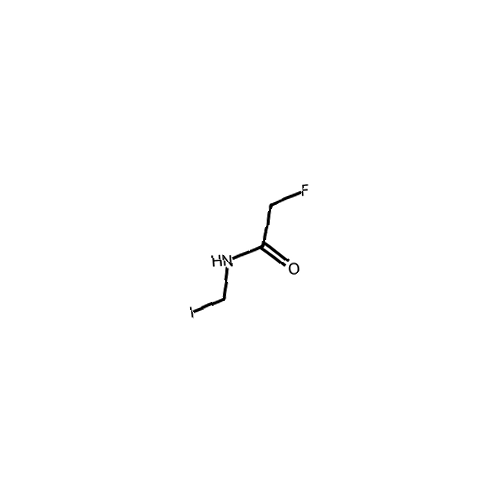 O=C(CF)NCI